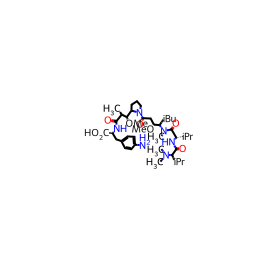 CCC(C)C(C(CC(=O)N1CCCC1C(OC)C(C)C(=O)N[C@@H](Cc1ccc(N)cc1)C(=O)O)OC)N(C)C(=O)[C@@H](NC(=O)C(C(C)C)N(C)C)C(C)C